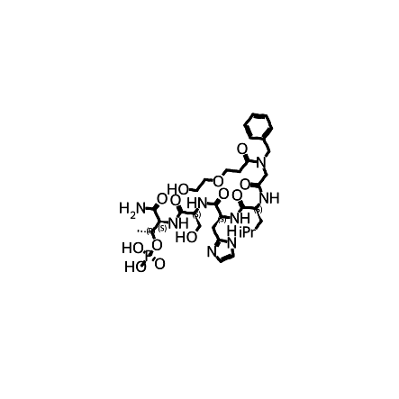 CC(C)C[C@H](NC(=O)CN(Cc1ccccc1)C(=O)CCOCCO)C(=O)N[C@@H](Cc1ncc[nH]1)C(=O)N[C@@H](CO)C(=O)N[C@H](C(N)=O)[C@@H](C)OP(=O)(O)O